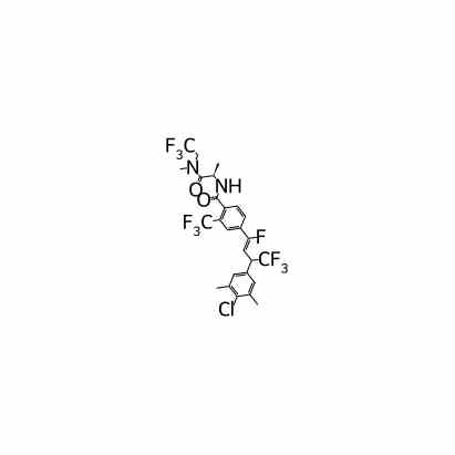 Cc1cc(C(/C=C(\F)c2ccc(C(=O)N[C@H](C)C(=O)N(C)CC(F)(F)F)c(C(F)(F)F)c2)C(F)(F)F)cc(C)c1Cl